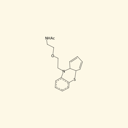 CC(=O)NCCOCCN1c2ccccc2SC2C=CC=CC21